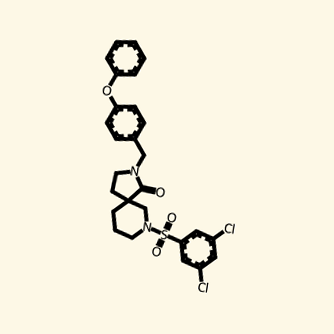 O=C1N(Cc2ccc(Oc3ccccc3)cc2)CCC12CCCN(S(=O)(=O)c1cc(Cl)cc(Cl)c1)C2